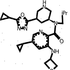 CC(C)CN(C(=O)c1ncc(C2CC2)cc1NC1COC1)[C@@H]1CNCC(c2nnc(C3CC3)o2)C1